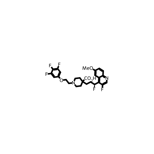 COc1ccc2ncc(F)c([C@@H](F)CCC3(C(=O)O)CCN(CCOc4cc(F)c(F)c(F)c4)CC3)c2c1